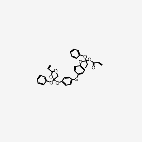 C=CC(=O)OC(CC)(Oc1ccccc1)Oc1ccc(Sc2ccc(OC(CC)(OC(=O)C=C)Oc3ccccc3)cc2)cc1